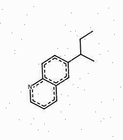 CCC(C)c1ccc2ncccc2c1